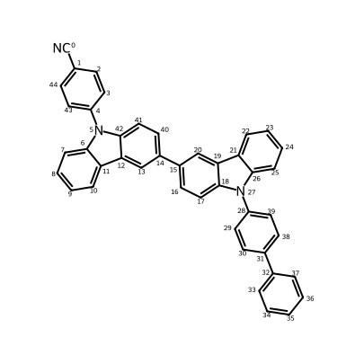 N#Cc1ccc(-n2c3ccccc3c3cc(-c4ccc5c(c4)c4ccccc4n5-c4ccc(-c5ccccc5)cc4)ccc32)cc1